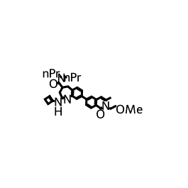 CCCN(CCC)C(=O)C1CC(NC2=CCC2)=Nc2cc(-c3ccc4c(=O)n(CCOC)c(C)cc4c3)ccc2C1